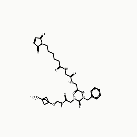 O=C(CCCCCN1C(=O)C=CC1=O)NCC(=O)NCC(=O)N[C@@H](Cc1ccccc1)C(=O)NCC(=O)NCOC12CC(C(=O)O)(C1)C2